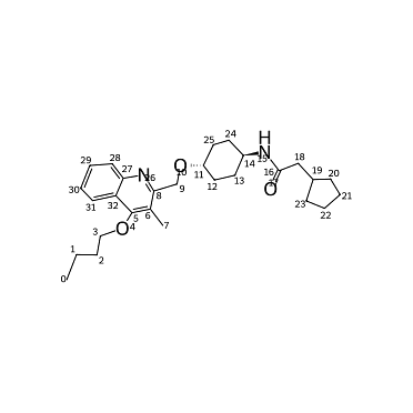 CCCCOc1c(C)c(CO[C@H]2CC[C@H](NC(=O)CC3CCCC3)CC2)nc2ccccc12